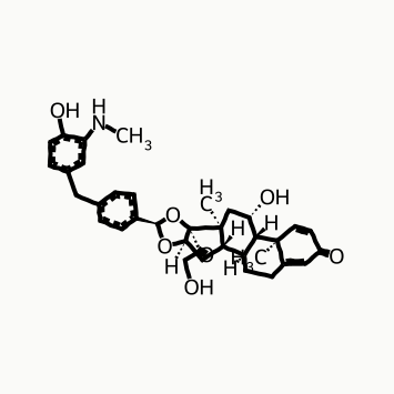 CNc1cc(Cc2ccc([C@@H]3O[C@@H]4C[C@H]5[C@@H]6CCC7=CC(=O)C=C[C@]7(C)[C@H]6[C@@H](O)C[C@]5(C)[C@]4(C(=O)CO)O3)cc2)ccc1O